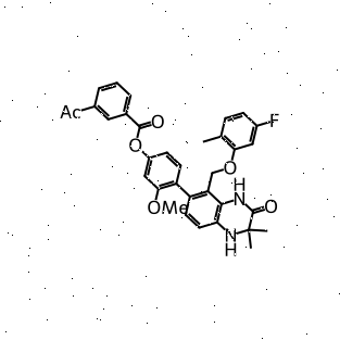 COc1cc(OC(=O)c2cccc(C(C)=O)c2)ccc1-c1ccc2c(c1COc1cc(F)ccc1C)NC(=O)C(C)(C)N2